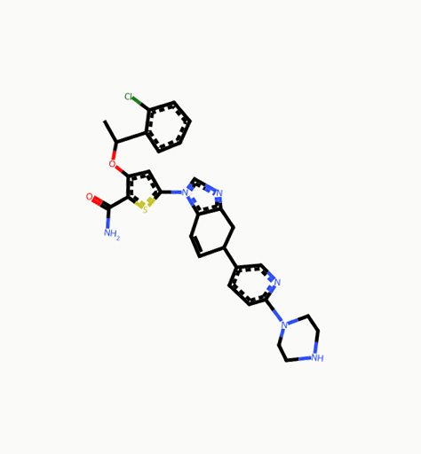 CC(Oc1cc(-n2cnc3c2C=CC(c2ccc(N4CCNCC4)nc2)C3)sc1C(N)=O)c1ccccc1Cl